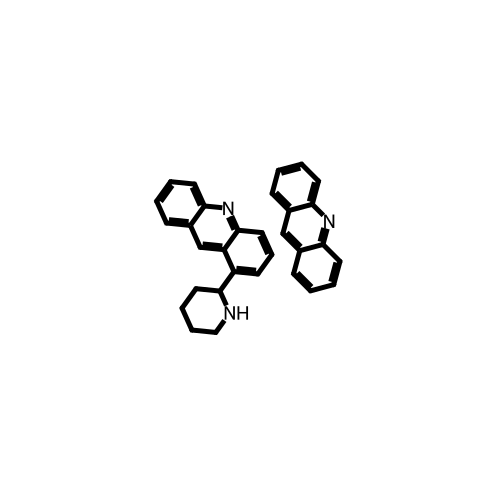 c1ccc2nc3cccc(C4CCCCN4)c3cc2c1.c1ccc2nc3ccccc3cc2c1